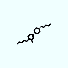 CCCCCc1ccc([C@H]2CC[C@H](CCCCC)CC2)cc1C